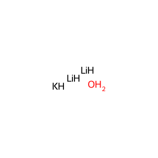 O.[KH].[LiH].[LiH]